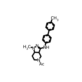 CC(=O)N1CCC2C(C1)C(Nc1ccc(-c3ccc(C)cc3)cc1)=NN2C